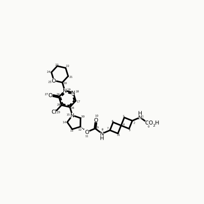 O=C(O)NC1CC2(C1)CC(NC(=O)O[C@@H]1CCN(c3cnn(C4CCCCO4)c(=O)c3Cl)C1)C2